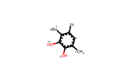 CCCCc1c(CC)cc(C)c(O)c1O